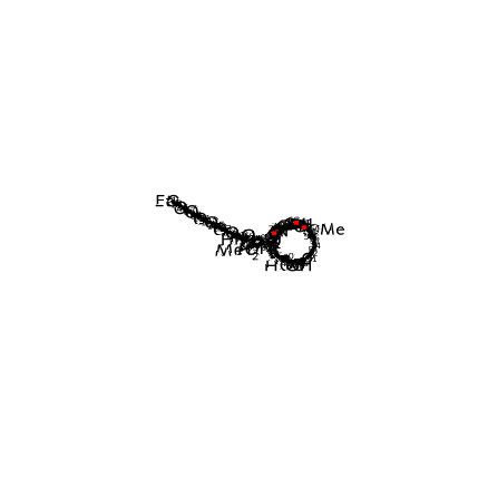 CCOCCOCCOCCOCCOCCOCCOCCNC(=O)O[C@@H]1CC[C@@H](C[C@@H](N)[C@@H]2CC[C@H](C)/C=C(\C)[C@@H](O)[C@@H](O)C(=O)C(C)C[C@H](C)/C=C/C=C/C=C(\C)[C@@H](OC)C[C@@H]3CC[C@@H](C)[C@@](O)(O3)C(=O)C(=O)N3CCCC[C@H]3C(=O)O2)C[C@H]1OC